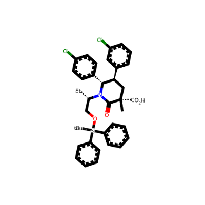 CC[C@@H](CO[Si](c1ccccc1)(c1ccccc1)C(C)(C)C)N1C(=O)[C@@](C)(C(=O)O)C[C@H](c2cccc(Cl)c2)[C@H]1c1ccc(Cl)cc1